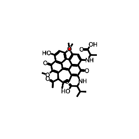 COc1c2c3c4c(c(NC(C(=O)O)C(C)C)c(=O)c5c(NC(C)C(=O)O)cc(OC)c(c6c(OC)cc(O)c(c1=O)c63)c54)C=C(C)C2C(C)=O